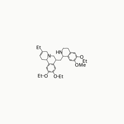 CCOc1cc2c(cc1OC)C(CC1CN3CC(CC)=CCC3c3cc(OCC)c(OCC)cc31)NCC2